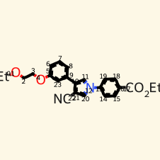 CCOCCOc1cccc(-c2cn(-c3ccc(C(=O)OCC)cc3)cc2C#N)c1